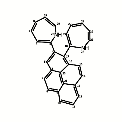 C1=CC=C(c2cc3ccc4cccc5ccc(c2C2=CC=CC=CN2)c3c45)NC=C1